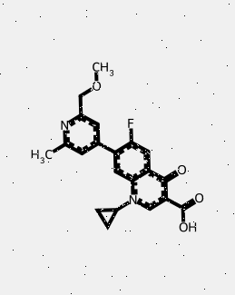 COCc1cc(-c2cc3c(cc2F)c(=O)c(C(=O)O)cn3C2CC2)cc(C)n1